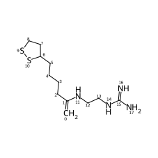 C=C(CCCCC1CCSS1)NCCNC(=N)N